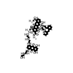 CN(C)c1ccc(O)c2c1C[C@H]1C[C@H]3[C@H](N(C)C)C(O)=C(C(N)=O)C(=O)[C@@]3(O)C(O)=C1C2=O.CN1CCN2c3ncccc3Cc3ccccc3C2C1.O=C1c2c(O)ccc(O)c2C(=O)c2c(NCCNCCO)ccc(NCCNCCO)c21